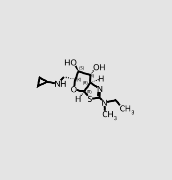 CCN(C)C1=N[C@@H]2[C@@H](O)[C@H](O)[C@@H](CNC3CC3)O[C@@H]2S1